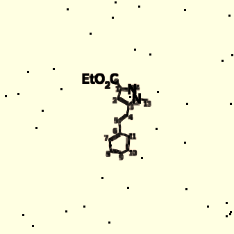 CCOC(=O)c1cc(C=Cc2ccccc2)n(C)n1